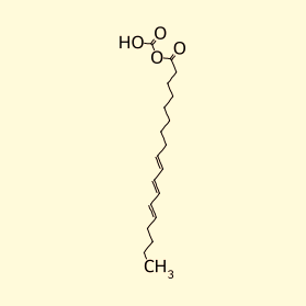 CCCCC=CC=CC=CCCCCCCCC(=O)OC(=O)O